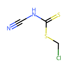 N#CNC(=S)SCCl